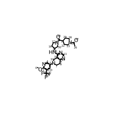 COc1ncc(N2CCc3ncnc(NC4CCN(C(=O)C5CCN(C(C)=O)CC5)C4)c3C2)cc1C(F)(F)F